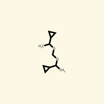 CC(OCOC(C)C1CC1)C1CC1